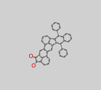 O=c1c(=O)c2cc3c(cc4c5c(-c6ccccc6)c6ccccc6c(-c6ccccc6)c5c5cccc3c54)c3cccc1c23